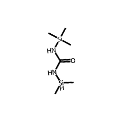 C[SiH](C)NC(=O)N[Si](C)(C)C